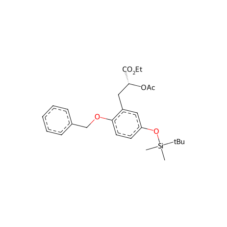 CCOC(=O)[C@@H](Cc1cc(O[Si](C)(C)C(C)(C)C)ccc1OCc1ccccc1)OC(C)=O